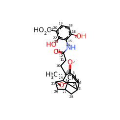 CC12CC34C=CC(=O)[C@](C)(CCC(=O)Nc5c(O)ccc(C(=O)O)c5O)C3C(CC1C4)O2